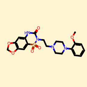 COc1ccccc1N1CCN(CCN2C(=O)Nc3cc4c(cc3S2(=O)=O)OCO4)CC1